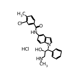 CNC[C@@H](O)[C@H](c1ccccc1)n1ccc2cc(NC(=O)c3ccc(C)c(Cl)c3)ccc21.Cl